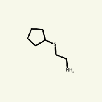 NCCSC1CCCC1